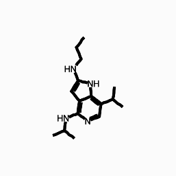 CCCNc1cc2c(NC(C)C)ncc(C(C)C)c2[nH]1